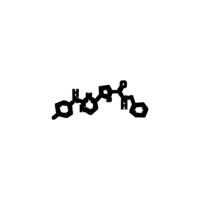 Cc1ccc(Nc2nccc(-c3ccc(C(=O)NCc4ccccc4)s3)n2)cc1